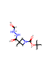 CC(C)(C)OC(=O)N1CC(C)(C(=O)NNC=O)C1